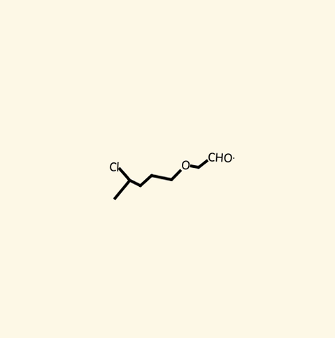 CC(Cl)CCCOC[C]=O